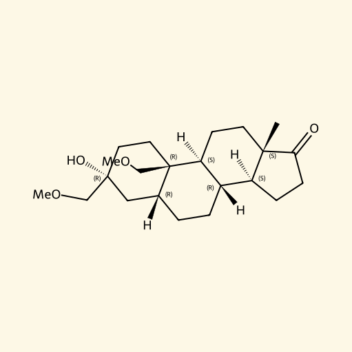 COC[C@@]1(O)CC[C@@]2(COC)[C@H](CC[C@@H]3[C@@H]2CC[C@]2(C)C(=O)CC[C@@H]32)C1